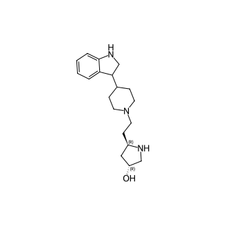 O[C@H]1CN[C@H](CCN2CCC(C3CNc4ccccc43)CC2)C1